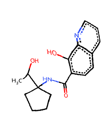 CC(O)C1(NC(=O)c2ccc3cccnc3c2O)CCCC1